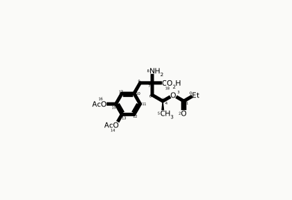 CCC(=O)O[C@@H](C)CC(N)(Cc1ccc(OC(C)=O)c(OC(C)=O)c1)C(=O)O